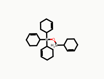 C1=CC([SiH2]O[Si](C2C=CCCC2)(C2C=CCCC2)C2C=CCCC2)CCC1